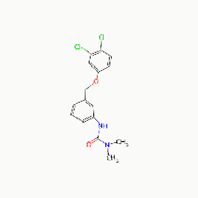 CN(C)C(=O)Nc1cccc(COc2ccc(Cl)c(Cl)c2)c1